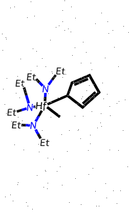 CC[N](CC)[Hf]([CH3])([CH]1C=CC=C1)([N](CC)CC)[N](CC)CC